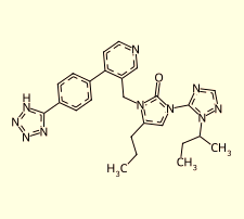 CCCc1cn(-c2ncnn2C(C)CC)c(=O)n1Cc1cnccc1-c1ccc(-c2nnn[nH]2)cc1